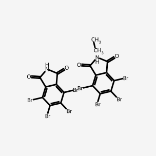 CC.O=C1NC(=O)c2c(Br)c(Br)c(Br)c(Br)c21.O=C1NC(=O)c2c(Br)c(Br)c(Br)c(Br)c21